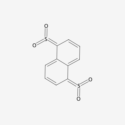 O=S(=O)=C1C=CC=C2C1=CC=CC2=S(=O)=O